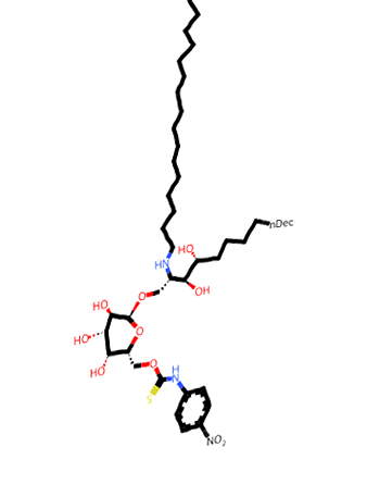 CCCCCCCCCCCCCCCCCCCCCCCCCCN[C@@H](CO[C@H]1O[C@H](COC(=S)Nc2ccc([N+](=O)[O-])cc2)[C@H](O)[C@H](O)[C@H]1O)[C@H](O)[C@H](O)CCCCCCCCCCCCCC